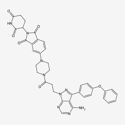 Nc1ncnc2c1c(-c1ccc(Oc3ccccc3)cc1)nn2CCC(=O)N1CCN(c2[c]c3c(cc2)C(=O)N(C2CCC(=O)NC2=O)C3=O)CC1